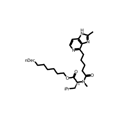 CCCCCCCCCCCCCCCCOC(=O)[C@H](CC(C)C)N(C)C(=O)CCCCc1nccc2[nH]c(C)nc12